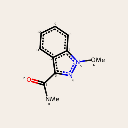 CNC(=O)c1nn(OC)c2ccccc12